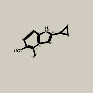 Oc1ccc2[nH]c(C3CC3)cc2c1F